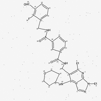 CCc1nc2c(cnn2CC)c(NC2CCOCC2)c1CNC(=O)c1cccc(C(=O)NCc2cccc(C=O)c2F)c1